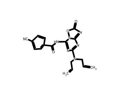 C=CCN(CC=C)c1nc(NC(=O)c2ccc(C#N)cc2)n2oc(=O)nc2n1